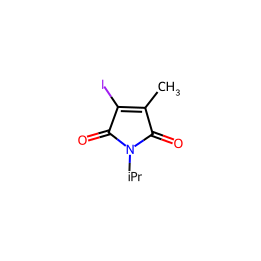 CC1=C(I)C(=O)N(C(C)C)C1=O